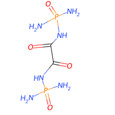 NP(N)(=O)NC(=O)C(=O)NP(N)(N)=O